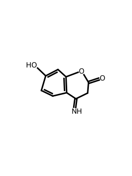 N=C1CC(=O)Oc2cc(O)ccc21